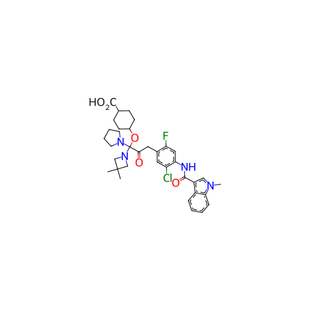 Cn1cc(C(=O)Nc2cc(F)c(CC(=O)C(OC3CCC(C(=O)O)CC3)(N3CCCC3)N3CC(C)(C)C3)cc2Cl)c2ccccc21